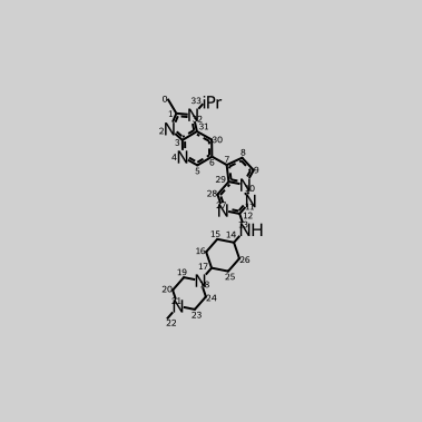 Cc1nc2ncc(-c3ccn4nc(NC5CCC(N6CCN(C)CC6)CC5)ncc34)cc2n1C(C)C